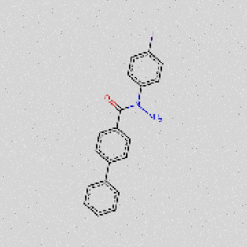 NN(C(=O)c1ccc(-c2ccccc2)cc1)c1ccc(I)cc1